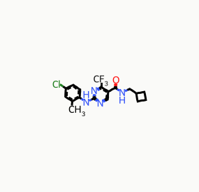 Cc1cc(Cl)ccc1Nc1ncc(C(=O)NCC2CCC2)c(C(F)(F)F)n1